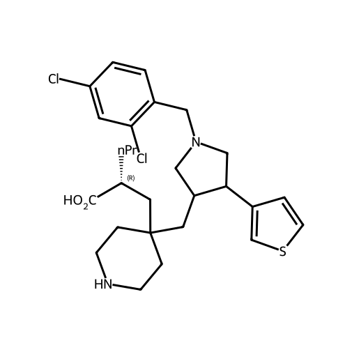 CCC[C@H](CC1(CC2CN(Cc3ccc(Cl)cc3Cl)CC2c2ccsc2)CCNCC1)C(=O)O